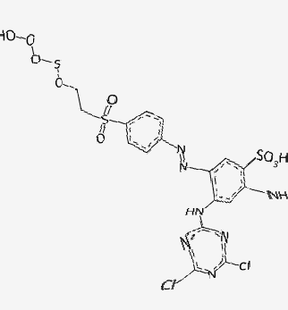 Nc1cc(Nc2nc(Cl)nc(Cl)n2)c(/N=N/c2ccc(S(=O)(=O)CCOSOOO)cc2)cc1S(=O)(=O)O